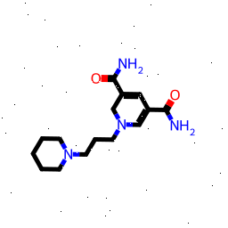 NC(=O)C1=CN(CCCN2CCCCC2)CC(C(N)=O)=C1